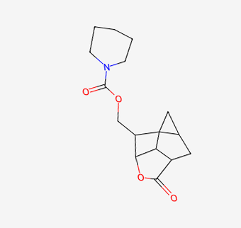 O=C1OC2C(COC(=O)N3CCCCC3)C34CC3CC1C24